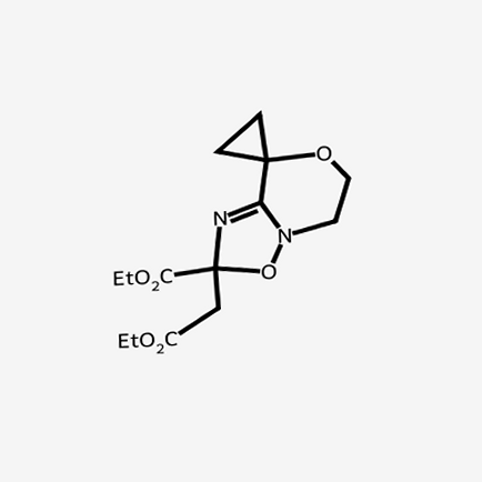 CCOC(=O)CC1(C(=O)OCC)N=C2N(CCOC23CC3)O1